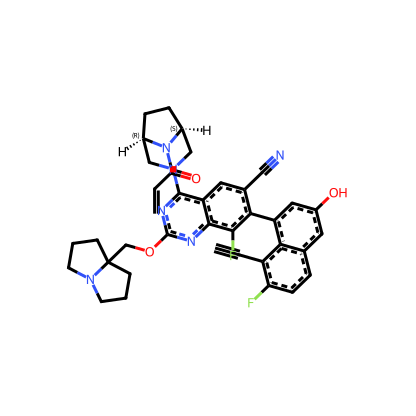 C#Cc1c(F)ccc2cc(O)cc(-c3c(C#N)cc4c(N5C[C@H]6CC[C@@H](C5)N6C(=O)C=C)nc(OCC56CCCN5CCC6)nc4c3F)c12